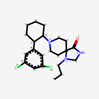 CCCN1CNC(=O)C12CCN(C1CCCCC1c1cc(Cl)cc(Cl)c1)CC2